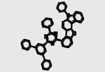 C1=CC2c3c(cccc3-c3nc(-c4ccccc4)nc(-c4cc(-c5ccccc5)cc(-c5ccccc5)c4)n3)OC2c2c1n(-c1ccccc1)c1ccccc21